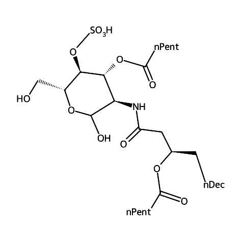 CCCCCCCCCCC[C@H](CC(=O)N[C@H]1C(O)O[C@H](CO)[C@@H](OS(=O)(=O)O)[C@@H]1OC(=O)CCCCC)OC(=O)CCCCC